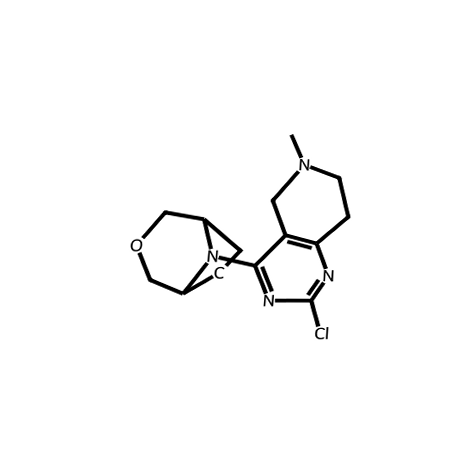 CN1CCc2nc(Cl)nc(N3C4CCC3COC4)c2C1